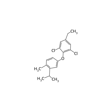 CCc1cc(Cl)c(Oc2ccc(C)c(C(C)C)c2)c(Cl)c1